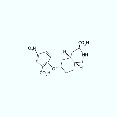 O=C(O)c1cc([N+](=O)[O-])ccc1O[C@H]1CC[C@H]2CN[C@H](C(=O)O)C[C@H]2C1